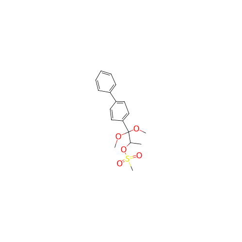 COC(OC)(c1ccc(-c2ccccc2)cc1)C(C)OS(C)(=O)=O